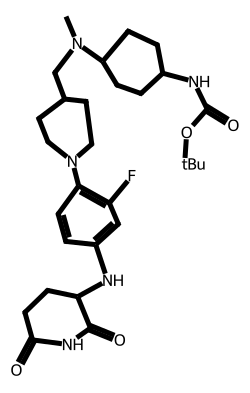 CN(CC1CCN(c2ccc(NC3CCC(=O)NC3=O)cc2F)CC1)C1CCC(NC(=O)OC(C)(C)C)CC1